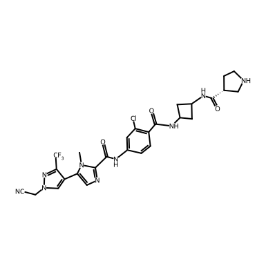 Cn1c(-c2cn(CC#N)nc2C(F)(F)F)cnc1C(=O)Nc1ccc(C(=O)NC2CC(NC(=O)[C@@H]3CCNC3)C2)c(Cl)c1